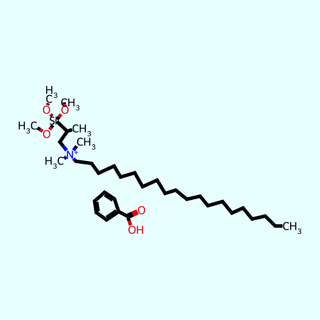 CCCCCCCCCCCCCCCCCCCC[N+](C)(C)CC(C)[Si](OC)(OC)OC.O=C(O)c1ccccc1